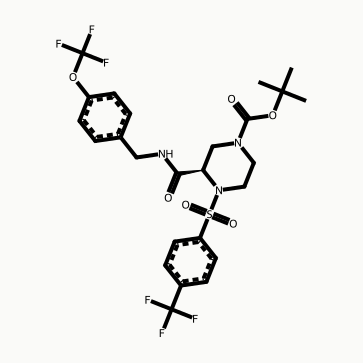 CC(C)(C)OC(=O)N1CCN(S(=O)(=O)c2ccc(C(F)(F)F)cc2)[C@@H](C(=O)NCc2ccc(OC(F)(F)F)cc2)C1